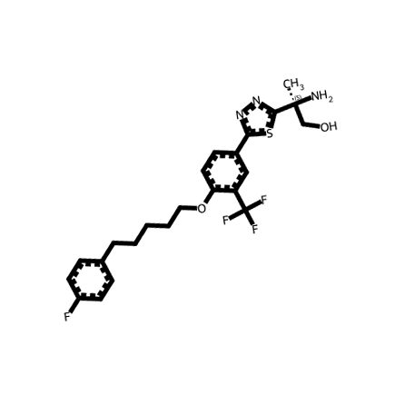 C[C@](N)(CO)c1nnc(-c2ccc(OCCCCCc3ccc(F)cc3)c(C(F)(F)F)c2)s1